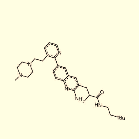 CC(Cc1cc2cc(-c3ncccc3CCN3CCN(C)CC3)ccc2nc1N)C(=O)NCCC(C)(C)C